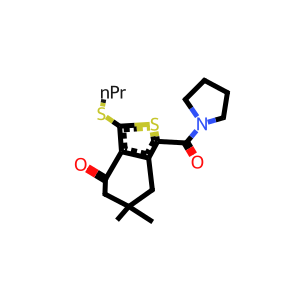 CCCSc1sc(C(=O)N2CCCC2)c2c1C(=O)CC(C)(C)C2